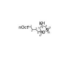 CCCCCCCCCCCCC1(C)CCC[Si](C)(C)O1.[KH]